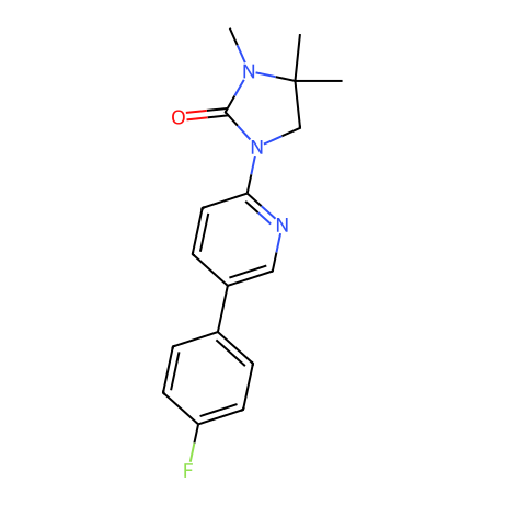 CN1C(=O)N(c2ccc(-c3ccc(F)cc3)cn2)CC1(C)C